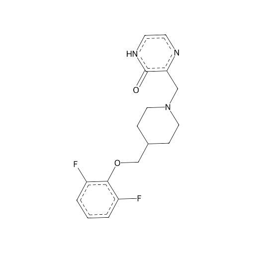 O=c1[nH]ccnc1CN1CCC(COc2c(F)cccc2F)CC1